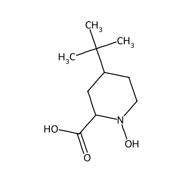 CC(C)(C)C1CCN(O)C(C(=O)O)C1